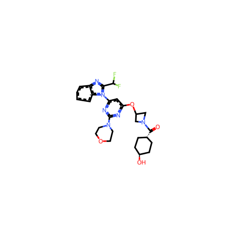 O=C([C@H]1CC[C@H](O)CC1)N1CC(Oc2cc(-n3c(C(F)F)nc4ccccc43)nc(N3CCOCC3)n2)C1